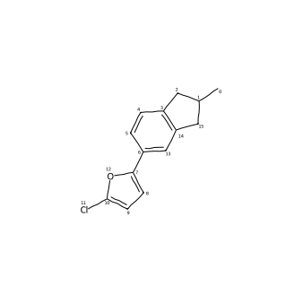 CC1Cc2ccc(-c3ccc(Cl)o3)cc2C1